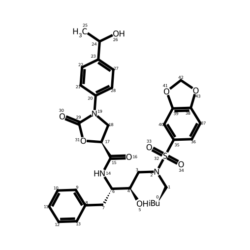 CC[C@H](C)CN(C[C@@H](O)[C@H](Cc1ccccc1)NC(=O)[C@@H]1CN(c2ccc(C(C)O)cc2)C(=O)O1)S(=O)(=O)c1ccc2c(c1)OCO2